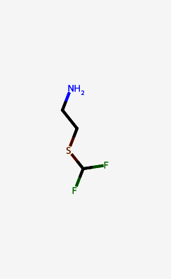 NCCSC(F)F